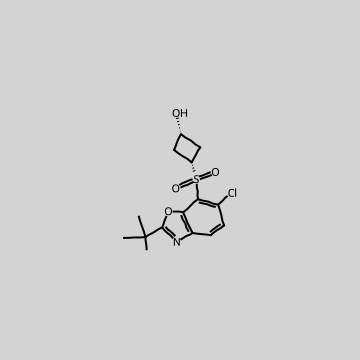 CC(C)(C)c1nc2ccc(Cl)c(S(=O)(=O)[C@H]3C[C@@H](O)C3)c2o1